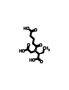 CC[C@@H](C(=O)O)N(CC(=O)O)C(=O)CCCC(=O)O